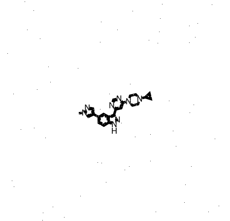 Cn1cc(-c2ccc3[nH]nc(-c4cc(N5CCN(C6CC6)CC5)ncn4)c3c2)cn1